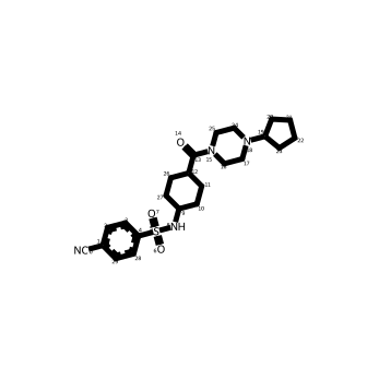 N#Cc1ccc(S(=O)(=O)NC2CCC(C(=O)N3CCN(C4CCCC4)CC3)CC2)cc1